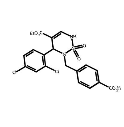 CCOC(=O)C1=CNS(=O)(=O)N(Cc2ccc(C(=O)O)cc2)C1c1ccc(Cl)cc1Cl